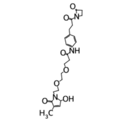 CC1=CC(O)N(CCOCCOCCC(=O)Nc2ccc(CCC(=O)N3CCC3=O)cc2)C1=O